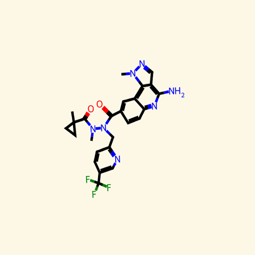 CN(C(=O)C1(C)CC1)N(Cc1ccc(C(F)(F)F)cn1)C(=O)c1ccc2nc(N)c3cnn(C)c3c2c1